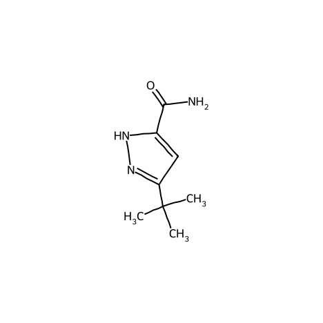 CC(C)(C)c1cc(C(N)=O)[nH]n1